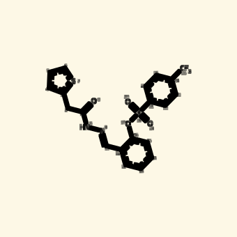 O=C(Cc1cccs1)N/N=C/c1ccccc1OS(=O)(=O)c1ccc(C(F)(F)F)cc1